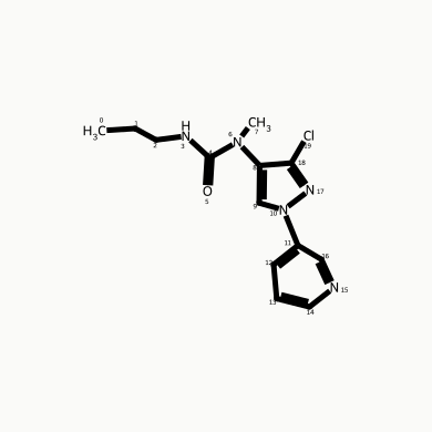 CCCNC(=O)N(C)c1cn(-c2cccnc2)nc1Cl